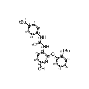 CC(C)(C)c1ccc(NC(=O)Nc2ccc(O)nc2Oc2ccccc2C(C)(C)C)cc1